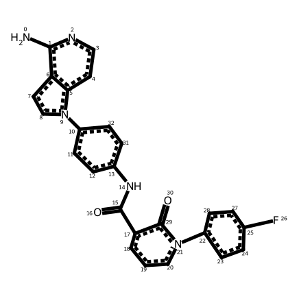 Nc1nccc2c1ccn2-c1ccc(NC(=O)c2cccn(-c3ccc(F)cc3)c2=O)cc1